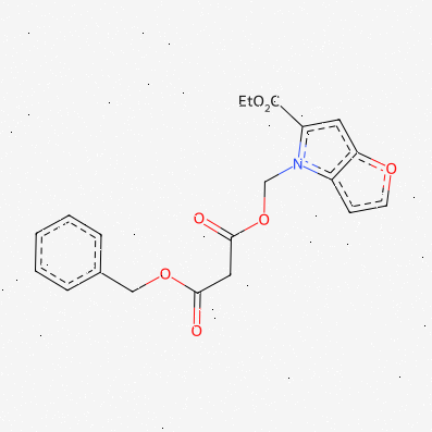 CCOC(=O)c1cc2occc2n1COC(=O)CC(=O)OCc1ccccc1